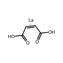 O=C(O)/C=C\C(=O)O.[La]